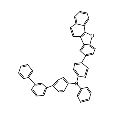 c1ccc(-c2cccc(-c3ccc(N(c4ccccc4)c4ccc(-c5ccc6oc7c8ccccc8ccc7c6c5)cc4)cc3)c2)cc1